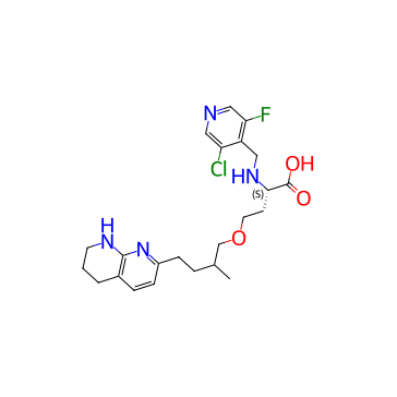 CC(CCc1ccc2c(n1)NCCC2)COCC[C@H](NCc1c(F)cncc1Cl)C(=O)O